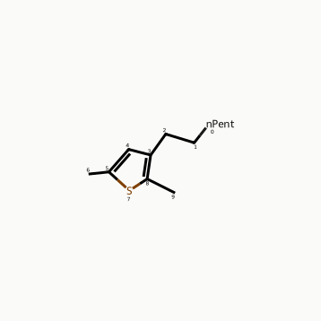 CCCCCCCc1cc(C)sc1C